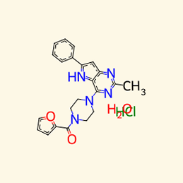 Cc1nc(N2CCN(C(=O)c3ccco3)CC2)c2[nH]c(-c3ccccc3)cc2n1.Cl.O